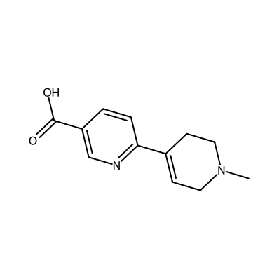 CN1CC=C(c2ccc(C(=O)O)cn2)CC1